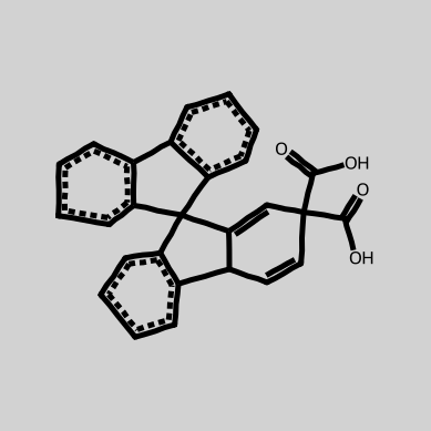 O=C(O)C1(C(=O)O)C=CC2C(=C1)C1(c3ccccc3-c3ccccc31)c1ccccc12